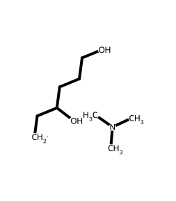 CN(C)C.[CH2]CC(O)CCCO